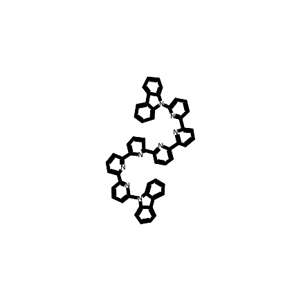 c1cc(-c2cccc(-c3cccc(-c4cccc(-n5c6ccccc6c6ccccc65)n4)n3)n2)nc(-c2cccc(-c3cccc(-n4c5ccccc5c5ccccc54)n3)n2)c1